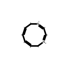 C1=C\C/N=C\C=N/C\C=C/1